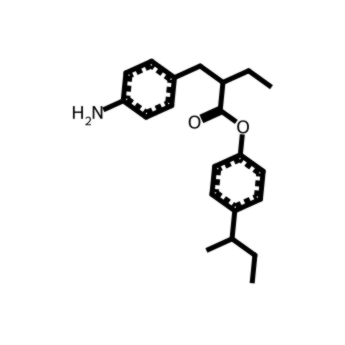 CCC(Cc1ccc(N)cc1)C(=O)Oc1ccc(C(C)CC)cc1